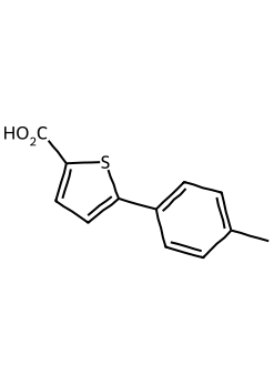 Cc1ccc(-c2ccc(C(=O)O)s2)cc1